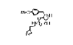 COc1ccc(C[C@H]2NC[C@H](O)[C@H]2OC(=O)NCCC2CNC2)cc1